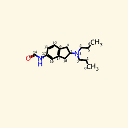 CCCN(CCC)C1Cc2ccc(NC=O)cc2C1